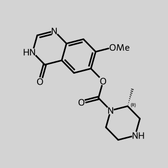 COc1cc2nc[nH]c(=O)c2cc1OC(=O)N1CCNC[C@H]1C